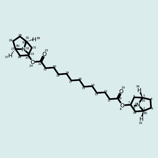 CN1[C@@H]2CC[C@H]1CC(OC(=O)CCCCCCCCCCCC(=O)OC1C[C@H]3CC[C@@H](C1)N3C)C2